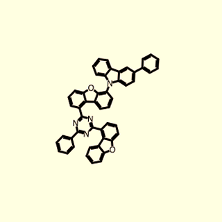 c1ccc(-c2ccc3c(c2)c2ccccc2n3-c2cccc3c2oc2cccc(-c4nc(-c5ccccc5)nc(-c5cccc6oc7ccccc7c56)n4)c23)cc1